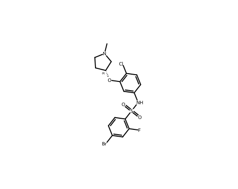 CN1CC[C@@H](Oc2cc(NS(=O)(=O)c3ccc(Br)cc3F)ccc2Cl)C1